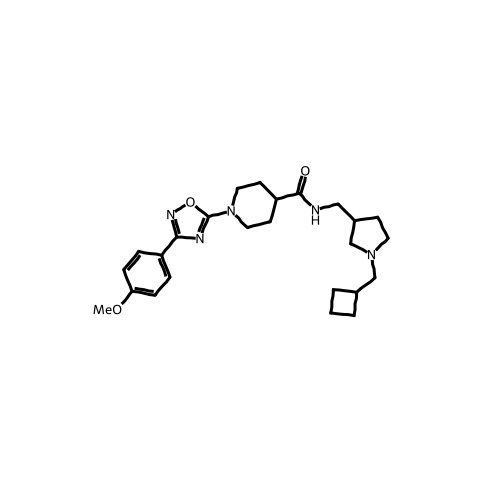 COc1ccc(-c2noc(N3CCC(C(=O)NCC4CCN(CC5CCC5)C4)CC3)n2)cc1